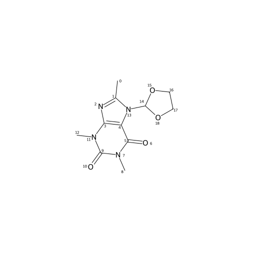 Cc1nc2c(c(=O)n(C)c(=O)n2C)n1C1OCCO1